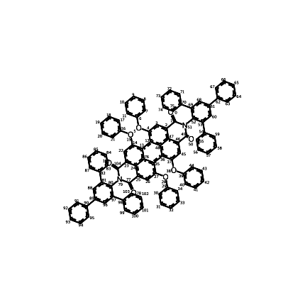 O=C1c2cc(Oc3ccccc3)c3c4c(Oc5ccccc5)cc5c6c(cc(Oc7ccccc7)c(c7c(Oc8ccccc8)cc(c2c37)C(=O)N1c1c(-c2ccccc2)cc(-c2ccccc2)cc1-c1ccccc1)c64)C(=O)N(c1c(-c2ccccc2)cc(-c2ccccc2)cc1-c1ccccc1)C5=O